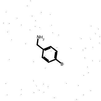 [B]c1ccc(CN)cc1